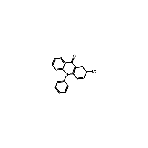 CCC1C=Cc2c(c(=O)c3ccccc3n2-c2ccccc2)C1